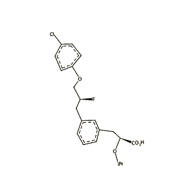 CC(C)O[C@@H](Cc1cccc(C[C@H](F)COc2ccc(Cl)cc2)c1)C(=O)O